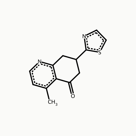 Cc1ccnc2c1C(=O)CC(c1nccs1)C2